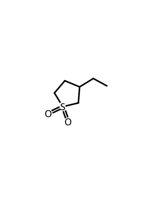 CCC1CCS(=O)(=O)C1